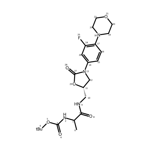 CC(NC(=O)OC(C)(C)C)C(=O)NC[C@H]1CN(c2ccc(N3CCOCC3)c(F)c2)C(=O)O1